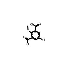 COc1c(C(=O)Cl)cc(Cl)cc1C(=O)Cl